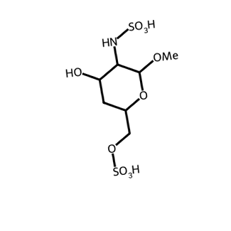 [CH2-][OH+]C1OC(COS(=O)(=O)O)CC(O)C1NS(=O)(=O)O